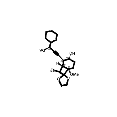 CCC1[C@@H]2[C@@H](C#C[C@@H](O)C3CCCCC3)[C@H](O)CC[C@]2(OC)C12OCCO2